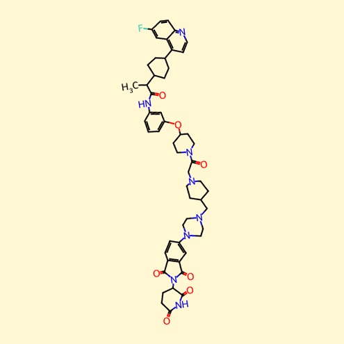 CC(C(=O)Nc1cccc(OC2CCN(C(=O)CN3CCC(CN4CCN(c5ccc6c(c5)C(=O)N(C5CCC(=O)NC5=O)C6=O)CC4)CC3)CC2)c1)C1CCC(c2ccnc3ccc(F)cc23)CC1